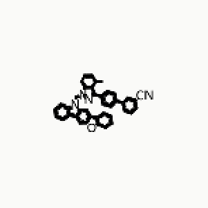 CC1C=CC=C2C1C(c1ccc(-c3cccc(C#N)c3)cc1)=NN2Cn1c2ccccc2c2cc3oc4ccccc4c3cc21